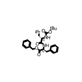 CC(C)C[C@H](NC(=O)OC(C)(C)C)C(=O)N[C@@H](Cc1ccccc1)C(=O)OCc1ccccc1